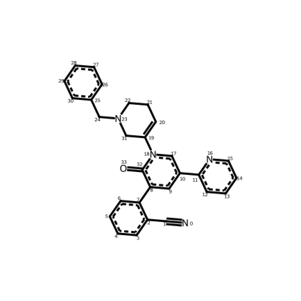 N#Cc1ccccc1-c1cc(-c2ccccn2)cn(C2=CCCN(Cc3ccccc3)C2)c1=O